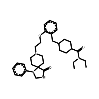 CCN(CC)C(=O)C1CCC(Cc2ccccc2OCCN2CCC3(CC2)C(=O)NCN3c2ccccc2)CC1